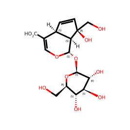 O=C(O)C1=CO[C@@H](O[C@@H]2O[C@H](CO)[C@@H](O)[C@H](O)[C@H]2O)[C@H]2[C@@H]1C=C[C@]2(O)CO